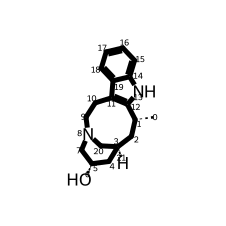 C[C@@H]1C[C@H]2C[C@H](O)CN(CCc3c1[nH]c1ccccc31)C2